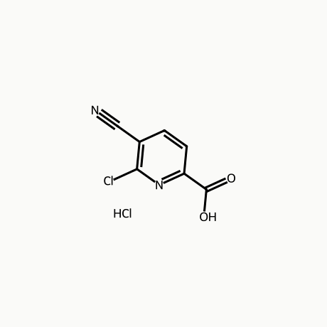 Cl.N#Cc1ccc(C(=O)O)nc1Cl